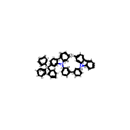 Cc1ccc2c3ccccc3n(-c3cccc(-c4cccc(-n5c6ccccc6c6ccc([Si](c7ccccc7)(c7ccccc7)c7ccccc7)cc65)c4)c3)c2c1